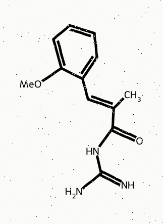 COc1ccccc1/C=C(\C)C(=O)NC(=N)N